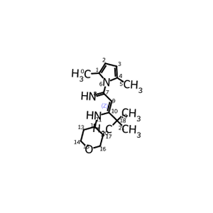 Cc1ccc(C)n1C(=N)/C=C(\NC1CCOCC1)C(C)(C)C